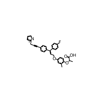 Cc1cc(OCC=C(c2ccc(F)cc2)c2ccc(C#CCn3cccn3)cc2)ccc1OC(C)C(=O)O